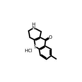 Cc1ccc2sc3c(c(=O)c2c1)CNCC3.Cl